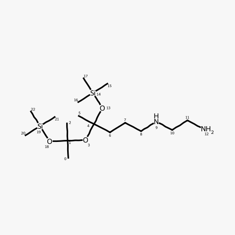 CC(C)(OC(C)(CCCNCCN)O[Si](C)(C)C)O[Si](C)(C)C